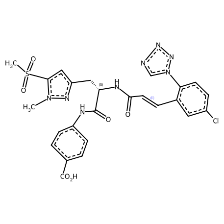 Cn1nc(C[C@H](NC(=O)/C=C/c2cc(Cl)ccc2-n2cnnn2)C(=O)Nc2ccc(C(=O)O)cc2)cc1S(C)(=O)=O